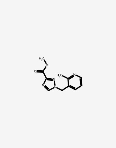 COC(=O)c1ncn(Cc2cccnc2C)n1